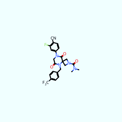 CN(C)C(=O)N1CC2(C1)C(=O)N(c1ccc(C#N)c(F)c1)CC(=O)N2Cc1ccc(C(F)(F)F)cc1